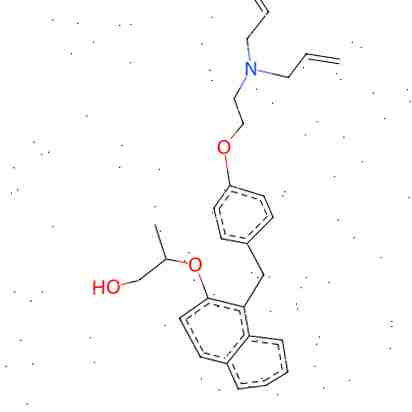 C=CCN(CC=C)CCOc1ccc(Cc2c(OC(C)CO)ccc3ccccc23)cc1